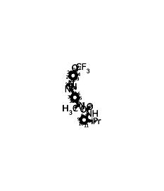 C/C(=N\OC(=O)Nc1ccccc1C(C)C)c1ccc(-c2ncn(-c3ccc(OC(F)(F)F)cc3)n2)cc1